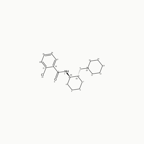 O=C(N[C@@H]1CCCC[C@H]1CN1CCCCC1)c1ccccc1Cl